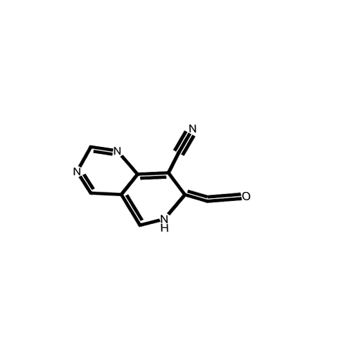 N#CC1=c2ncncc2=CNC1=C=O